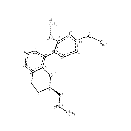 CNC[C@H]1CCc2cccc(-c3ccc(OC)cc3OC)c2O1